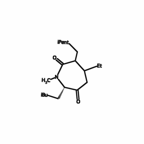 CCCC(C)CC1C(=O)N(C)[C@@H](CC(C)CC)C(=O)CC1CC